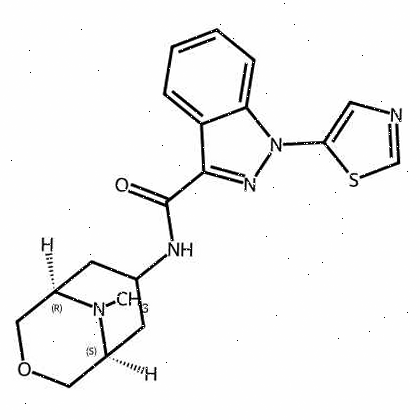 CN1[C@@H]2COC[C@H]1CC(NC(=O)c1nn(-c3cncs3)c3ccccc13)C2